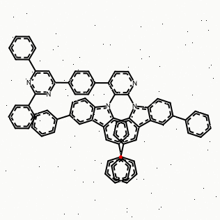 c1ccc(-c2ccc3c(c2)c2cc(-c4ccccc4)ccc2n3-c2nccc(-c3ccc(-c4cc(-c5ccccc5)nc(-c5ccccc5)n4)cc3)c2-n2c3ccc(-c4ccccc4)cc3c3cc(-c4ccccc4)ccc32)cc1